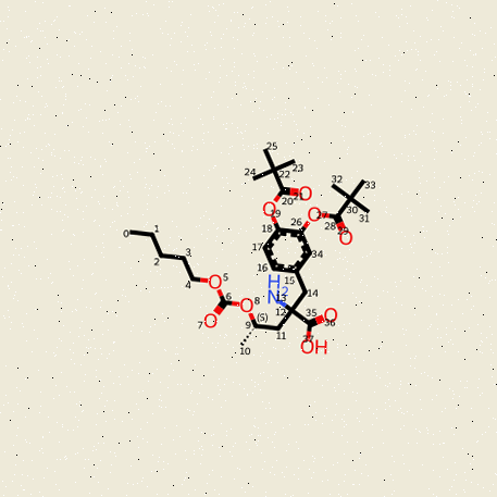 CCCCCOC(=O)O[C@@H](C)CC(N)(Cc1ccc(OC(=O)C(C)(C)C)c(OC(=O)C(C)(C)C)c1)C(=O)O